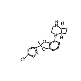 C[C@]1(c2ccc(Cl)cn2)Oc2cccc(N3CCN[C@H]4CC[C@H]43)c2O1